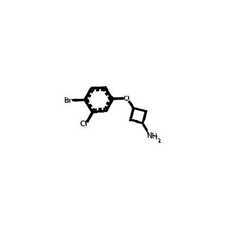 NC1CC(Oc2ccc(Br)c(Cl)c2)C1